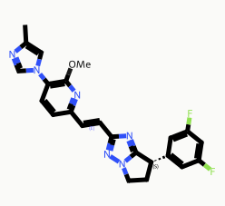 COc1nc(/C=C/c2nc3n(n2)CC[C@H]3c2cc(F)cc(F)c2)ccc1-n1cnc(C)c1